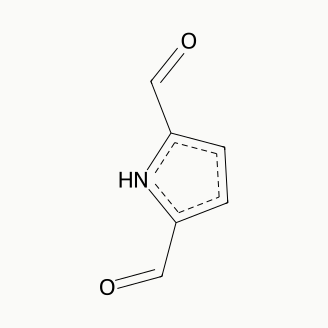 O=Cc1ccc(C=O)[nH]1